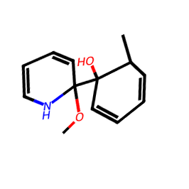 COC1(C2(O)C=CC=CC2C)C=CC=CN1